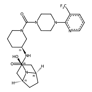 O=C(N1CCN(c2ncccc2C(F)(F)F)CC1)N1CCC[C@H](NC(=O)N2[C@@H]3CC[C@H]2C[C@@H](O)C3)C1